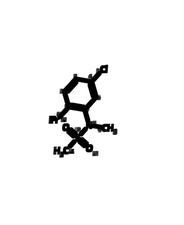 CC(C)c1ccc(Cl)cc1N(C)S(C)(=O)=O